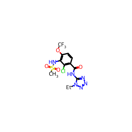 CCn1nnnc1NC(=O)c1ccc(OC(F)(F)F)c(NS(C)(=O)=O)c1Cl